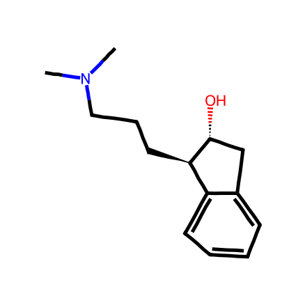 CN(C)CCC[C@@H]1c2ccccc2C[C@H]1O